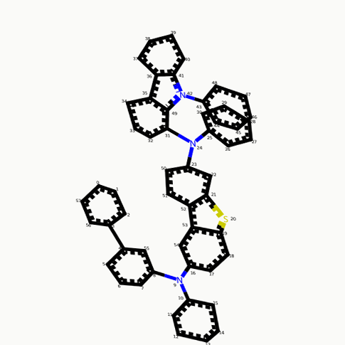 c1ccc(-c2cccc(N(c3ccccc3)c3ccc4sc5cc(N(c6ccccc6)c6cccc7c8ccccc8n(-c8ccccc8)c67)ccc5c4c3)c2)cc1